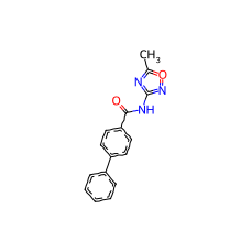 Cc1nc(NC(=O)c2ccc(-c3ccccc3)cc2)no1